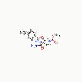 CC(C)(C)OC(=O)N1CCC(NC(=O)c2ccc(C#N)cc2)(C(N)=O)CC1